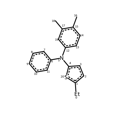 CCc1ccc(N(c2ccccc2)c2ccc(C)c(C)c2)s1